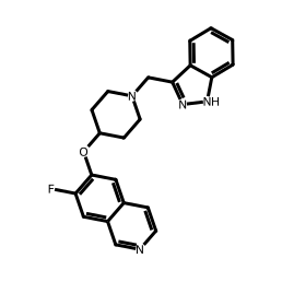 Fc1cc2cnccc2cc1OC1CCN(Cc2n[nH]c3ccccc23)CC1